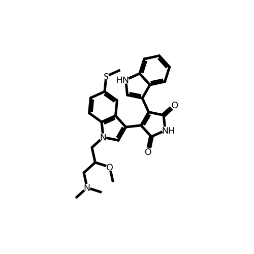 COC(CN(C)C)Cn1cc(C2=C(c3c[nH]c4ccccc34)C(=O)NC2=O)c2cc(SC)ccc21